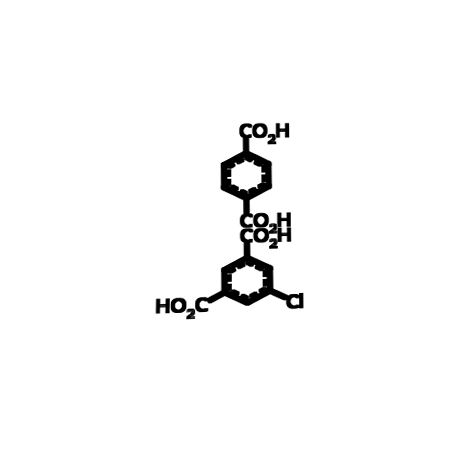 O=C(O)c1cc(Cl)cc(C(=O)O)c1.O=C(O)c1ccc(C(=O)O)cc1